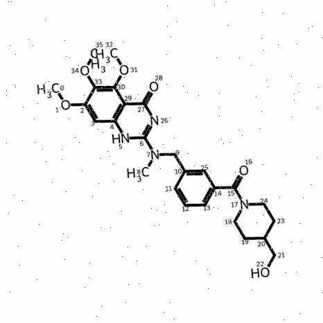 COc1cc2[nH]c(N(C)Cc3cccc(C(=O)N4CCC(CO)CC4)c3)nc(=O)c2c(OC)c1OC